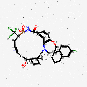 O=C1NS(=O)(=O)[C@H](C(F)(F)F)C/C=C\C[C@H](O)[C@@H]2CC[C@H]2CN2C[C@@]3(CCCc4cc(Cl)ccc43)COc3ccc1cc32